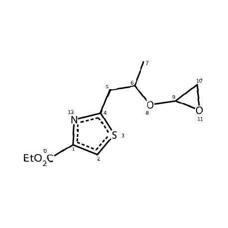 CCOC(=O)c1csc(CC(C)OC2CO2)n1